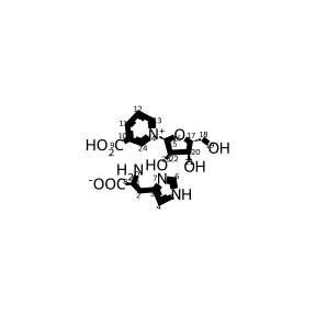 N[C@@H](Cc1c[nH]cn1)C(=O)[O-].O=C(O)c1ccc[n+]([C@@H]2O[C@H](CO)[C@@H](O)[C@H]2O)c1